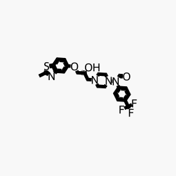 Cc1nc2cc(OC[C@H](O)CN3CCN(N(C=O)c4ccc(C(F)(F)F)cc4)CC3)ccc2s1